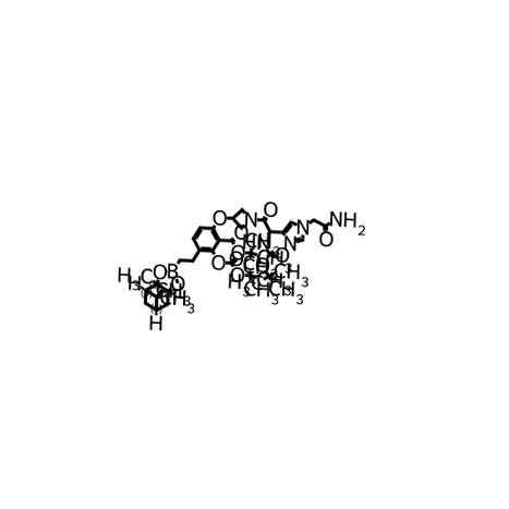 CC(C)(C)OC(=O)NC(C(=O)N1CC(Oc2ccc(CCB3O[C@@H]4C[C@@H]5C[C@@H](C5(C)C)[C@]4(C)O3)c(OC(=O)OC(C)(C)C)c2C(=O)OC(C)(C)C)C1)c1cn(CC(N)=O)cn1